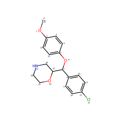 CCOc1ccc(OC(c2ccc(Cl)cc2)C2CNCCO2)cc1